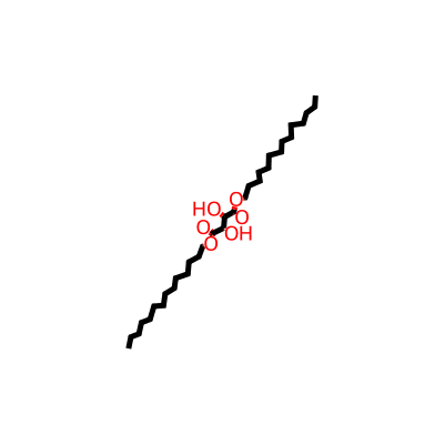 CCCCCCCCCCCCCCOC(=O)C(O)C(O)C(=O)OCCCCCCCCCCCCCC